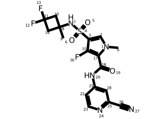 Cn1cc(S(=O)(=O)NC2(C)CC(F)(F)C2)c(F)c1C(=O)Nc1ccnc(C#N)c1